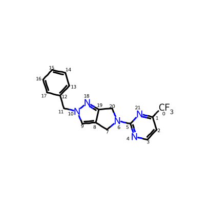 FC(F)(F)c1ccnc(N2Cc3cn(Cc4ccccc4)nc3C2)n1